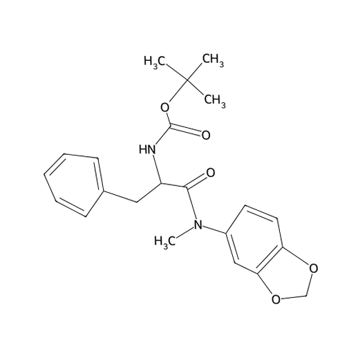 CN(C(=O)C(Cc1ccccc1)NC(=O)OC(C)(C)C)c1ccc2c(c1)OCO2